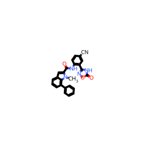 Cn1c(C(=O)Nc2ccc(C#N)cc2-c2noc(=O)[nH]2)cc2cccc(-c3ccccc3)c21